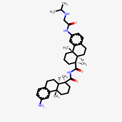 CC(C)NCC(=O)Nc1ccc2c(c1)[C@@]1(C)CCC[C@](C)(C(=O)NC(=O)[C@@]3(C)CCC[C@]4(C)c5cc(N)ccc5CC[C@@H]34)[C@@H]1CC2